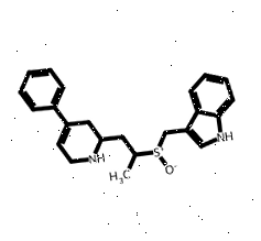 CC(CC1CC(c2ccccc2)=CCN1)[S+]([O-])Cc1c[nH]c2ccccc12